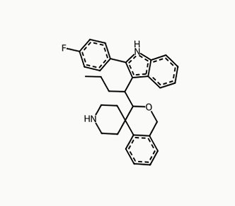 CCCC(c1c(-c2ccc(F)cc2)[nH]c2ccccc12)C1OCc2ccccc2C12CCNCC2